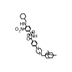 CC12CC3CC(C)(C1)CC(CN1CCN(c4ccc(C(=O)NS(=O)(=O)c5ccc(NCC6CCCCC6)c([N+](=O)[O-])c5)cc4)CC1)(C3)C2